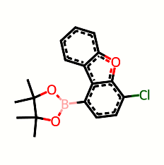 CC1(C)OB(c2ccc(Cl)c3oc4ccccc4c23)OC1(C)C